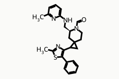 Cc1cccc(NC[C@@H]2CC3(CCN2C=O)CC3c2nc(C)sc2-c2ccccc2)n1